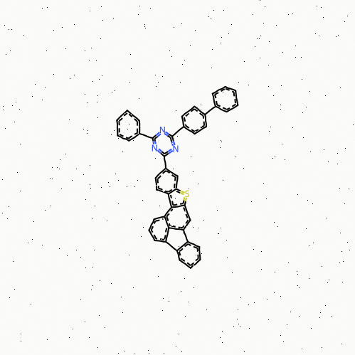 c1ccc(-c2ccc(-c3nc(-c4ccccc4)nc(-c4ccc5c(c4)sc4cc6c7c(cccc7c45)-c4ccccc4-6)n3)cc2)cc1